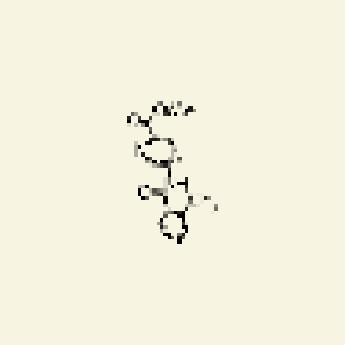 COC(=O)c1cnc(NC(=O)c2ccccc2C(F)(F)F)cn1